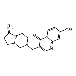 C=C1CCC2CN(Cc3cnc4cc(C(C)(C)C)ccn4c3=O)CCN12